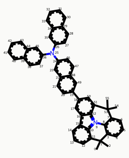 CC1(C)c2cccc3c2-n2c4c1cccc4c1cc(-c4ccc5cc(N(c6ccc7ccccc7c6)c6ccc7ccccc7c6)ccc5c4)cc(c12)C3(C)C